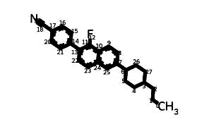 CCCC1CCC(c2ccc3c(F)c(-c4ccc(C#N)cc4)ccc3c2)CC1